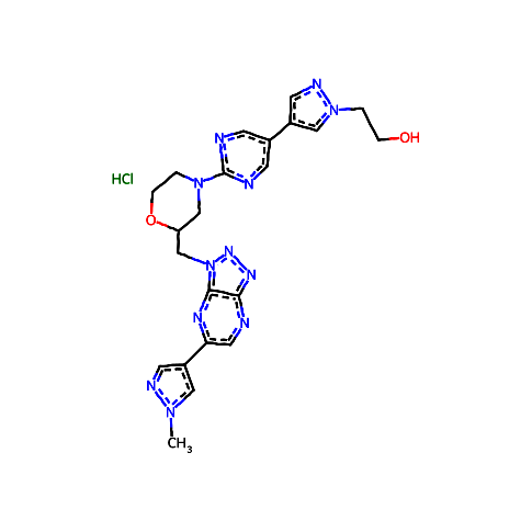 Cl.Cn1cc(-c2cnc3nnn(CC4CN(c5ncc(-c6cnn(CCO)c6)cn5)CCO4)c3n2)cn1